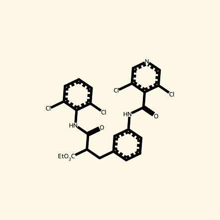 CCOC(=O)C(Cc1cccc(NC(=O)c2c(Cl)cncc2Cl)c1)C(=O)Nc1c(Cl)cccc1Cl